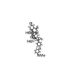 CNc1cccc(Sc2ccc([C@H](OI)O[C@]3(C(=O)CO)CCC4[C@@H]5C[C@H](F)C6=CC(=O)C=C[C@]6(C)[C@@]5(F)[C@@H](O)C[C@@]43C)cc2)c1